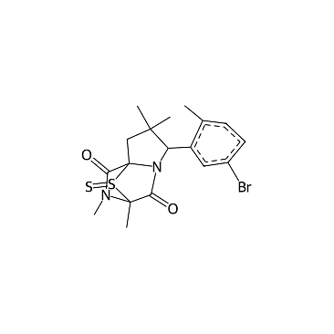 Cc1ccc(Br)cc1C1N2C(=O)C3(C)N(C)C(=O)C2(CC1(C)C)S3=S